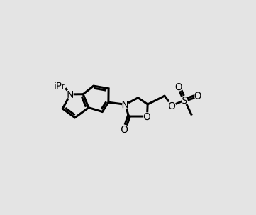 CC(C)n1ccc2cc(N3CC(COS(C)(=O)=O)OC3=O)ccc21